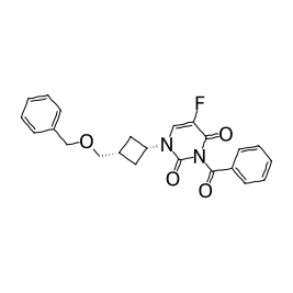 O=C(c1ccccc1)n1c(=O)c(F)cn([C@H]2C[C@@H](COCc3ccccc3)C2)c1=O